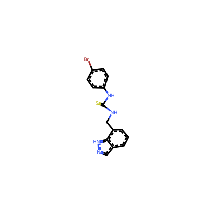 S=C(NCc1cccc2cn[nH]c12)Nc1ccc(Br)cc1